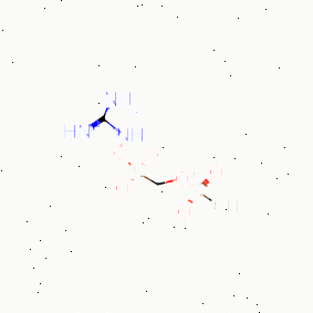 CS(=O)(=O)OCS(=O)(=O)ONC(=N)N